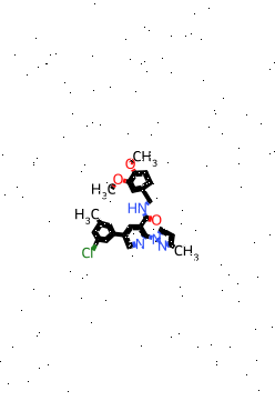 COc1ccc(CNC(=O)c2cc(-c3cc(C)cc(Cl)c3)cnc2-n2ccc(C)n2)cc1OC